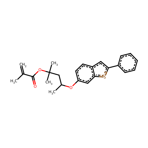 C=C(C)C(=O)OC(C)(C)CC(C)Oc1ccc2cc(-c3ccccc3)sc2c1